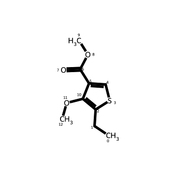 CCc1scc(C(=O)OC)c1OC